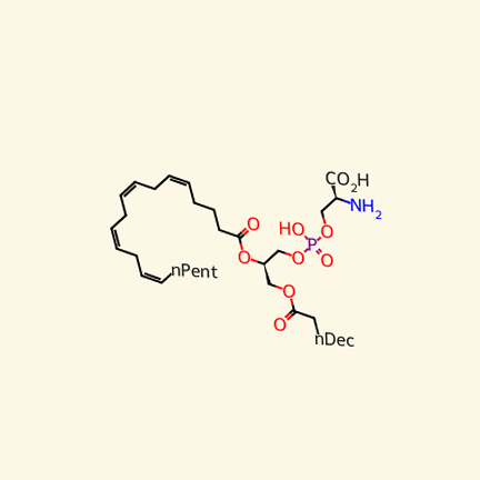 CCCCC/C=C\C/C=C\C/C=C\C/C=C\CCCC(=O)O[C@H](COC(=O)CCCCCCCCCCC)COP(=O)(O)OC[C@H](N)C(=O)O